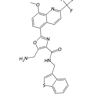 COc1ccc(-c2nc(C(=O)NCc3csc4ccccc34)c(CN)o2)c2ccc(C(F)(F)F)nc12